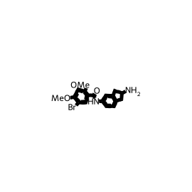 COc1cc(OC)c(C(=O)Nc2ccc3c(c2)CC(N)C3)cc1Br